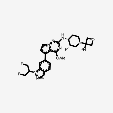 [2H]C1(N2CC[C@@H](Nc3nc(OC)c4c(-c5ccc6nnn(C(CF)CF)c6c5)ccn4n3)[C@@H](F)C2)COC1